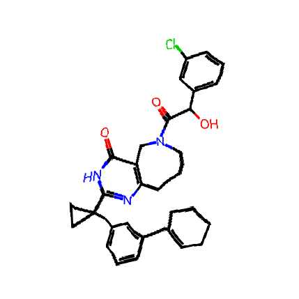 O=C(C(O)c1cccc(Cl)c1)N1CCCc2nc(C3(c4cccc(C5=CCCCC5)c4)CC3)[nH]c(=O)c2C1